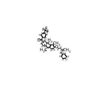 Cc1c(OCCN(C)Cc2ccccc2)ccc(C(C)N2CCN(C(=O)c3ccc(C(F)(F)F)cc3)CC2)c1C